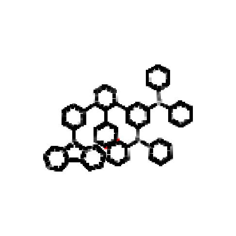 c1ccc(-c2c(-c3cc(N(c4ccccc4)c4ccccc4)cc(N(c4ccccc4)c4ccccc4)c3)cccc2-c2cccc(-n3c4ccccc4c4ccccc43)c2)cc1